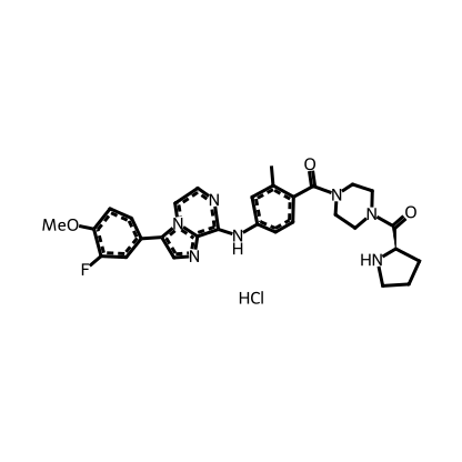 COc1ccc(-c2cnc3c(Nc4ccc(C(=O)N5CCN(C(=O)[C@H]6CCCN6)CC5)c(C)c4)nccn23)cc1F.Cl